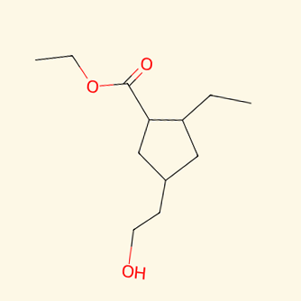 CCOC(=O)C1CC(CCO)CC1CC